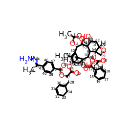 CC(=O)O[C@@H]1C(=O)[C@]2(C)C([C@@H](OC(=O)c3ccccc3)[C@@]3(O)C[C@@H](OC(=O)[C@H](CC4=CC=CCC4)OC(=O)c4ccc(/C(C)=N/N)cc4)C(C)=C1C3(C)C)[C@@]1(OC(C)=O)CO[C@H]1C[C@H]2O